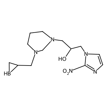 O=[N+]([O-])c1nccn1CC(O)CN1CCCN(CC2BC2)C1